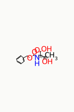 C[C@@H](O)[C@H](NC(=O)OCc1ccccc1)C(=O)O